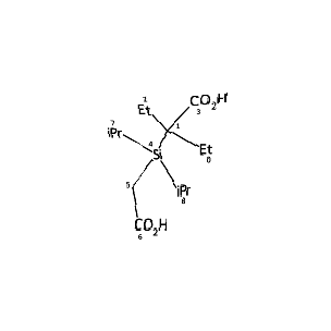 CCC(CC)(C(=O)O)[Si](CC(=O)O)(C(C)C)C(C)C